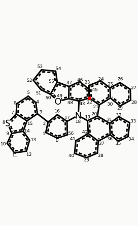 c1cc(-c2cccc3sc4ccccc4c23)cc(N(c2c(-c3cccc4ccccc34)c3ccccc3c3ccccc23)c2cccc3c2oc2ccccc23)c1